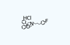 Cl.Fc1ccc(CCCCN2CCOC(c3ccccc3)(c3ccccc3)CC2)cc1